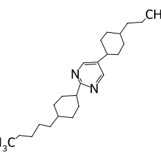 CCCCCC1CCC(c2ncc(C3CCC(CCC)CC3)cn2)CC1